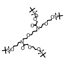 CC(C)(C)[Si](C)(C)OCCCN(CCOCCCN(CCOCCO[Si](C)(C)C(C)(C)C)C(=O)COO[Si](C)(C)C(C)(C)C)C(=O)COCCO[Si](C)(C)C(C)(C)C